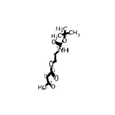 CC(C)(C)OC(=O)NCCOC(=O)CC(=O)O